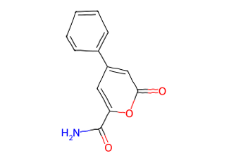 NC(=O)c1cc(-c2ccccc2)cc(=O)o1